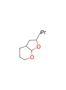 CC(C)C1CC2CCCOC2O1